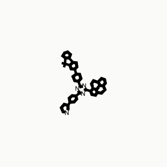 CC1(C)c2ccccc2-c2ccc(-c3ccc(-c4nc(-c5ccc(-c6cccnc6)cc5)nc(-c5ccc6ccc7cccc8ccc5c6c78)n4)cc3)cc21